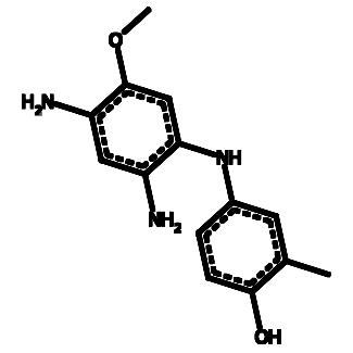 COc1cc(Nc2ccc(O)c(C)c2)c(N)cc1N